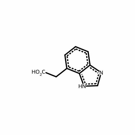 O=C(O)Cc1cccc2nc[nH]c12